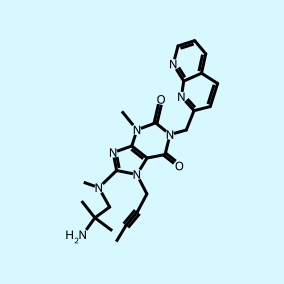 CC#CCn1c(N(C)CC(C)(C)N)nc2c1c(=O)n(Cc1ccc3cccnc3n1)c(=O)n2C